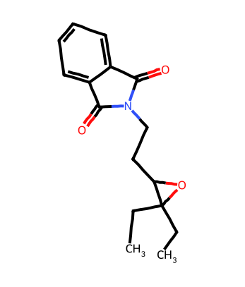 CCC1(CC)OC1CCN1C(=O)c2ccccc2C1=O